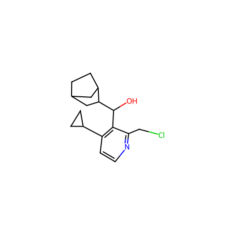 OC(c1c(C2CC2)ccnc1CCl)C1CC2CCC1C2